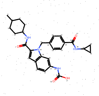 CC1CCC(NC(=O)c2cc3ccc(NC(=O)O)cc3n2Cc2ccc(C(=O)NC3CC3)cc2)CC1